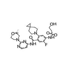 C[C@@H]1CN(c2nccc(NC(=O)c3cc(F)c(NS(=O)(=O)CCO)cc3N3CCC4(CC3)CC4)n2)CCO1